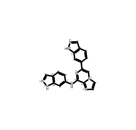 c1cn2cc(-c3ccc4cn[nH]c4c3)nc(Nc3ccc4cn[nH]c4c3)c2n1